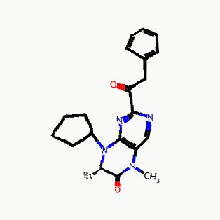 CC[C@@H]1C(=O)N(C)c2cnc(C(=O)Cc3ccccc3)nc2N1C1CCCC1